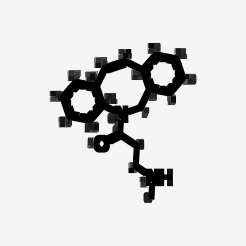 CNCCC(=O)N1Cc2ccccc2/C=C\c2ccccc21